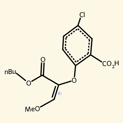 CCCCOC(=O)/C(=C\OC)Oc1ccc(Cl)cc1C(=O)O